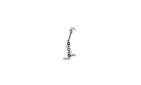 C=CC(=O)OCCCCCCCCOc1ccc(OC(=O)[C@H]2CC[C@H](C(=O)Oc3ccc(OC=O)c(C=N)c3)CC2)cc1